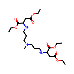 CCOC(=O)CC(NCCCN(C)CCCNC(CC(=O)OCC)C(=O)OCC)C(=O)OCC